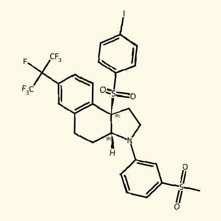 CS(=O)(=O)c1cccc(N2CC[C@@]3(S(=O)(=O)c4ccc(I)cc4)c4ccc(C(F)(C(F)(F)F)C(F)(F)F)cc4CC[C@@H]23)c1